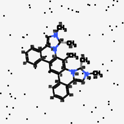 Cc1c2c(cc3c1N1C(=CN(C)[C@@H]1C)c1ccccc1-3)-c1ccccc1C1=CN(C)[C@@H](C)N12